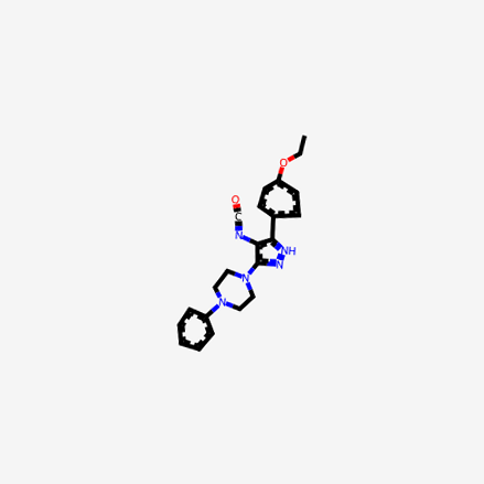 CCOc1ccc(-c2[nH]nc(N3CCN(c4ccccc4)CC3)c2N=C=O)cc1